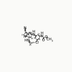 COC(=O)Nc1cc(Cl)cc(NC2=NN3C(=NCC3C#N)C(NC3CC3)=C2)c1